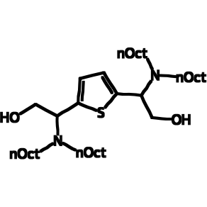 CCCCCCCCN(CCCCCCCC)C(CO)c1ccc(C(CO)N(CCCCCCCC)CCCCCCCC)s1